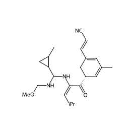 COCNC(N/C(=C/C(C)C)C(=O)[C@H]1C=C(C)C=C(/C=C/C#N)C1)C1CC1C